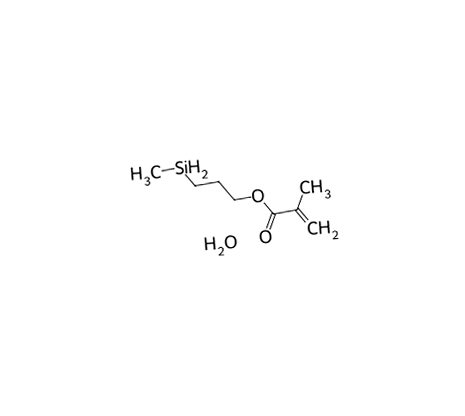 C=C(C)C(=O)OCCC[SiH2]C.O